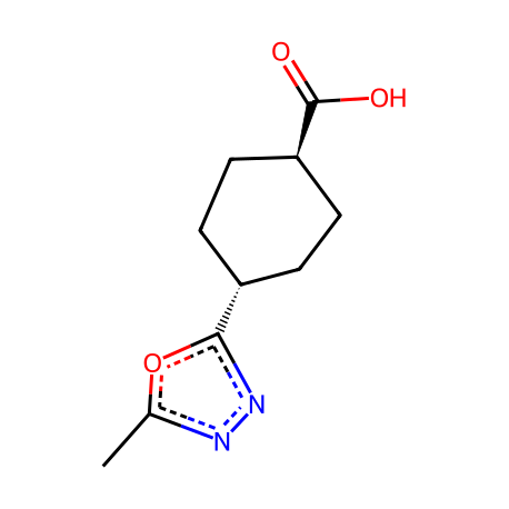 Cc1nnc([C@H]2CC[C@H](C(=O)O)CC2)o1